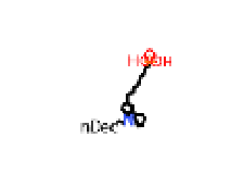 CCCCCCCCCCCCn1c2ccccc2c2cc(CCCCCCCCP(=O)(O)O)ccc21